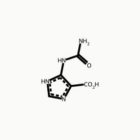 NC(=O)Nc1[nH]cnc1C(=O)O